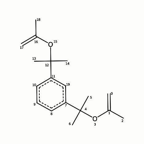 C=C(C)OC(C)(C)c1cccc(C(C)(C)OC(=C)C)c1